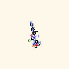 CCc1cc(Nc2ncc(Cl)c(Nc3ccc4nccnc4c3N(C)S(=O)(=O)CC)n2)c(OC)cc1N1CCC(N2CCN(C)CC2)CC1